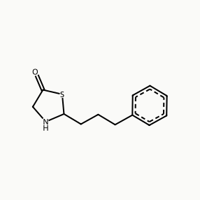 O=C1CNC(CCCc2ccccc2)S1